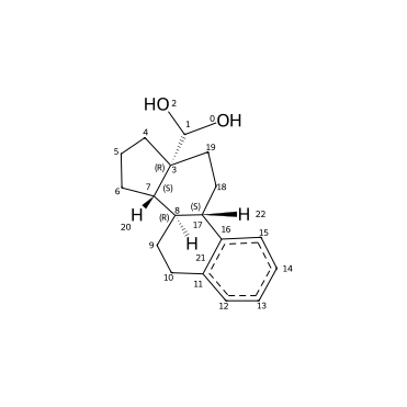 OC(O)[C@@]12CCC[C@H]1[C@@H]1CCc3ccccc3[C@H]1CC2